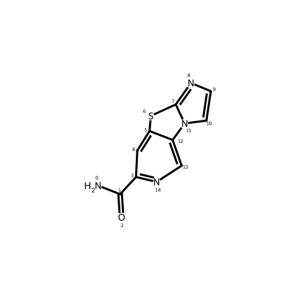 NC(=O)c1cc2sc3nccn3c2cn1